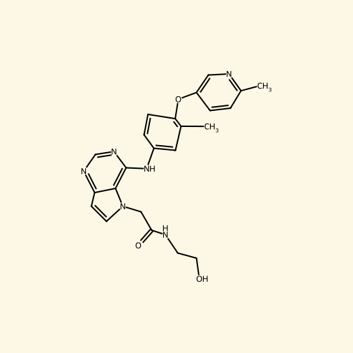 Cc1ccc(Oc2ccc(Nc3ncnc4ccn(CC(=O)NCCO)c34)cc2C)cn1